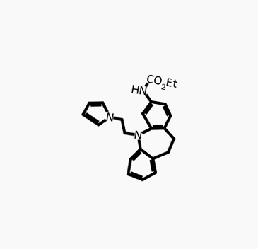 CCOC(=O)Nc1ccc2c(c1)N(CCn1cccc1)c1ccccc1CC2